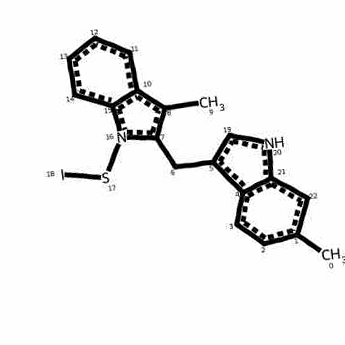 Cc1ccc2c(Cc3c(C)c4ccccc4n3SI)c[nH]c2c1